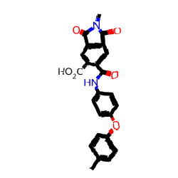 Cc1ccc(Oc2ccc(NC(=O)c3cc4c(cc3C(=O)O)C(=O)N(C)C4=O)cc2)cc1